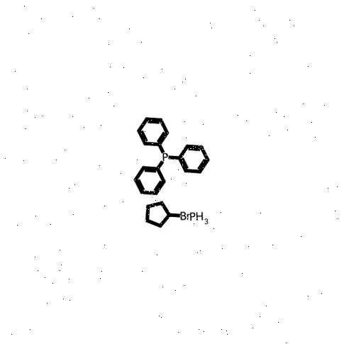 BrC1CCCC1.P.c1ccc(P(c2ccccc2)c2ccccc2)cc1